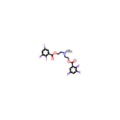 CC(C)(C)N(CCOC(=O)c1cc(I)cc(I)c1I)CCOC(=O)c1cc(I)cc(I)c1I